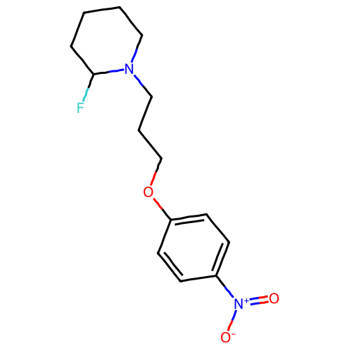 O=[N+]([O-])c1ccc(OCCCN2CCCCC2F)cc1